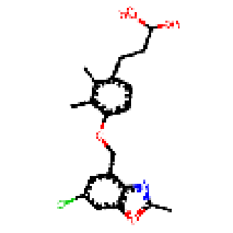 Cc1nc2c(COc3ccc(CCC(O)O)c(C)c3C)cc(Cl)cc2o1